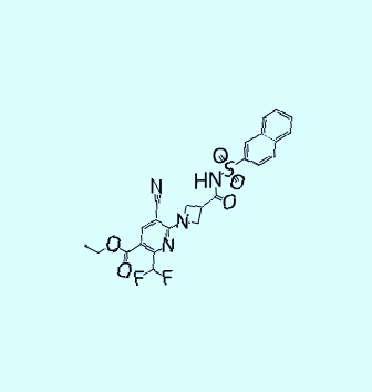 CCOC(=O)c1cc(C#N)c(N2CC(C(=O)NS(=O)(=O)c3ccc4ccccc4c3)C2)nc1C(F)F